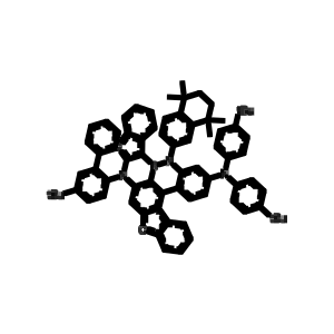 CC(C)(C)c1ccc(N(c2ccc(C(C)(C)C)cc2)c2ccc3c(c2)N(c2ccc4c(c2)C(C)(C)CCC4(C)C)B2c4c(cc5oc6ccccc6c5c4-3)N(c3ccc(C(C)(C)C)cc3-c3ccccc3)c3oc4ccccc4c32)cc1